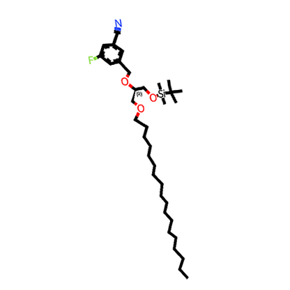 CCCCCCCCCCCCCCCCCCOC[C@H](CO[Si](C)(C)C(C)(C)C)OCc1cc(F)cc(C#N)c1